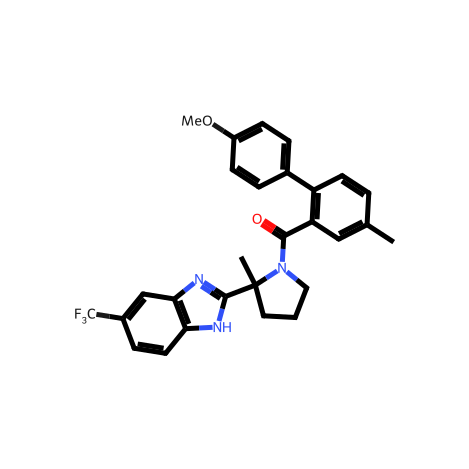 COc1ccc(-c2ccc(C)cc2C(=O)N2CCCC2(C)c2nc3cc(C(F)(F)F)ccc3[nH]2)cc1